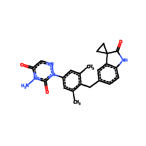 Cc1cc(-n2ncc(=O)n(N)c2=O)cc(C)c1Cc1ccc2c(c1)C1(CC1)C(=O)N2